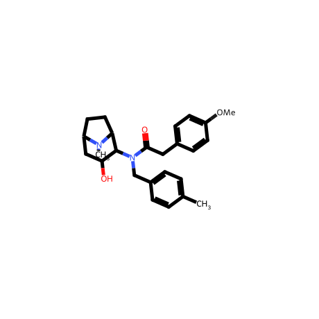 COc1ccc(CC(=O)N(Cc2ccc(C)cc2)C2C(O)CC3CCC2N3C)cc1